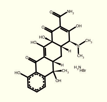 Br.CN(C)[C@@H]1C(O)=C(C(N)=O)C(=O)[C@@]2(O)C(O)=C3C(=O)c4c(O)cccc4[C@@](C)(O)[C@H]3C[C@@H]12.N